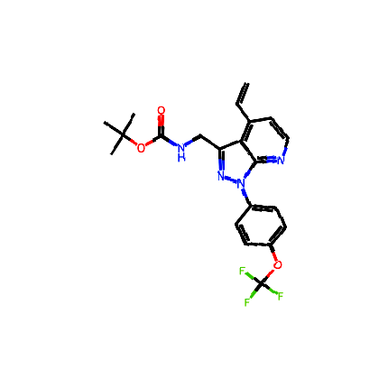 C=Cc1ccnc2c1c(CNC(=O)OC(C)(C)C)nn2-c1ccc(OC(F)(F)F)cc1